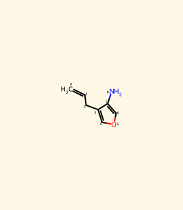 C=CCc1cocc1N